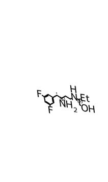 CC[C@@H](CO)NCC[C@@H](N)[CH]c1cc(F)cc(F)c1